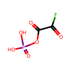 O=C(F)C(=O)OP(=O)(O)O